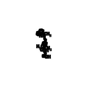 CC(NCCCc1ccc(C(C)(C)C(=O)NCCC(=O)O)cc1)c1cccc2ccccc12